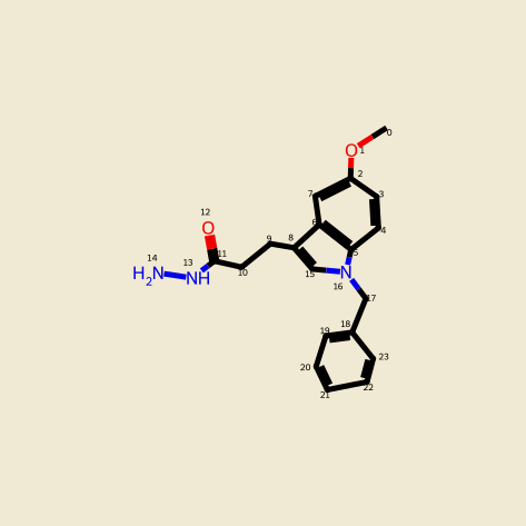 COc1ccc2c(c1)c(CCC(=O)NN)cn2Cc1ccccc1